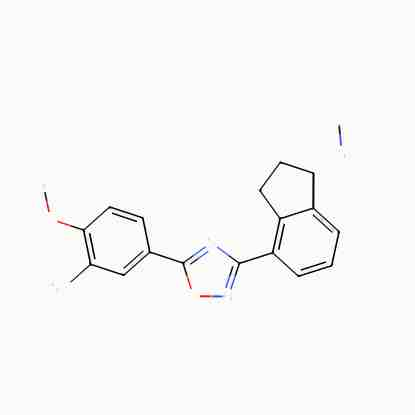 CCOC(=O)N[C@H]1CCc2c(-c3noc(-c4ccc(OC(C)C)c(C#N)c4)n3)cccc21